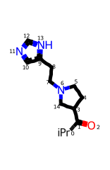 CC(C)C(=O)C1CCN(CCc2cnc[nH]2)C1